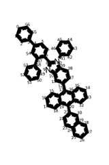 c1ccc(-c2ccc(-c3nc4cc(-c5c6ccccc6c(-c6ccc7ccccc7c6)c6ccccc56)ccc4n3-c3ccccc3)c(-c3ccccc3)c2)cc1